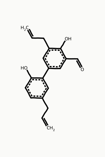 C=CCc1ccc(O)c(-c2cc(C=O)c(O)c(CC=C)c2)c1